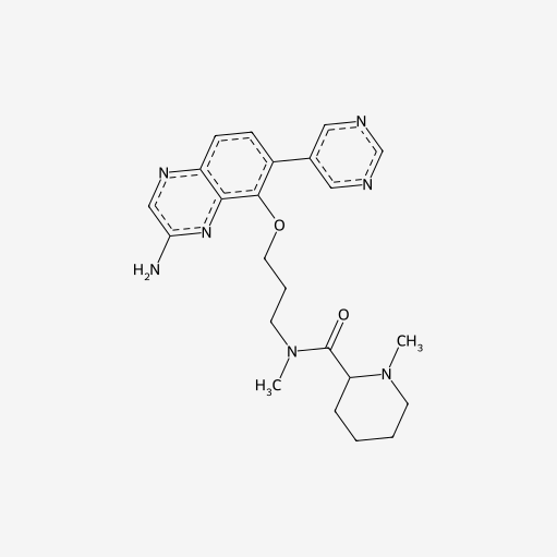 CN(CCCOc1c(-c2cncnc2)ccc2ncc(N)nc12)C(=O)C1CCCCN1C